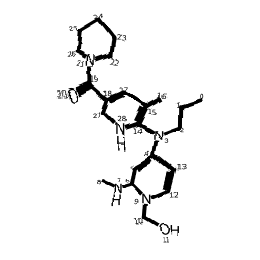 CCCN(C1=CC(NC)N(CO)C=C1)C1=C(C)C=C(C(=O)N2CCCCC2)CN1